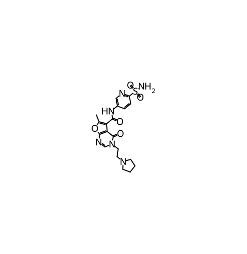 Cc1oc2ncn(CCN3CCCC3)c(=O)c2c1C(=O)Nc1ccc(S(N)(=O)=O)nc1